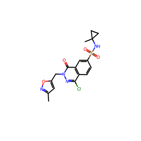 Cc1cc(Cn2nc(Cl)c3ccc(S(=O)(=O)NC4(C)CC4)cc3c2=O)on1